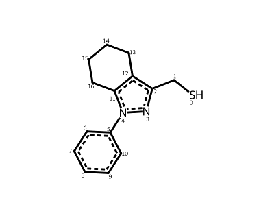 SCc1nn(-c2ccccc2)c2c1CCCC2